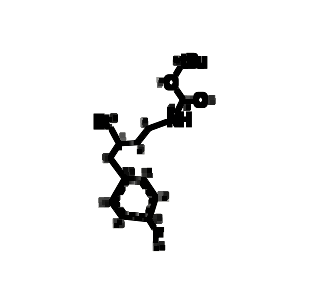 CC[C](CCNC(=O)OC(C)(C)C)Cc1ccc(F)cc1